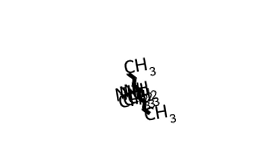 CCCCCCCCC.CN.CN.CN